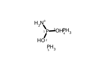 NP(O)O.P.P